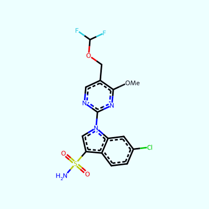 COc1nc(-n2cc(S(N)(=O)=O)c3ccc(Cl)cc32)ncc1COC(F)F